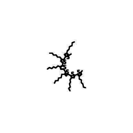 CCCCCCc1cc(-c2sc(-c3sc(-c4sc(-c5sc(-c6sc(C)cc6CCCCCC)cc5CCCCCC)cc4CCCCCC)cc3CCCCCC)cc2CCCCCC)sc1C